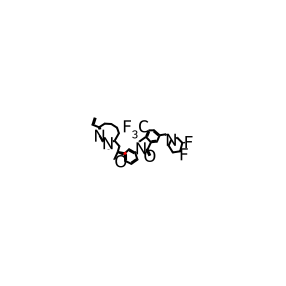 C=C/C1=N/CN(C)C(CC2(c3cccc(N4Cc5c(cc(CN6CC[C@@H](F)[C@H](F)C6)cc5C(F)(F)F)C4=O)c3)COC2)CCCC1